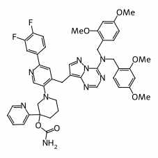 COc1ccc(CN(Cc2ccc(OC)cc2OC)c2ncnc3c(Cc4cc(-c5ccc(F)c(F)c5)ncc4N4CCCC(OC(N)=O)(c5ccccn5)C4)cnn23)c(OC)c1